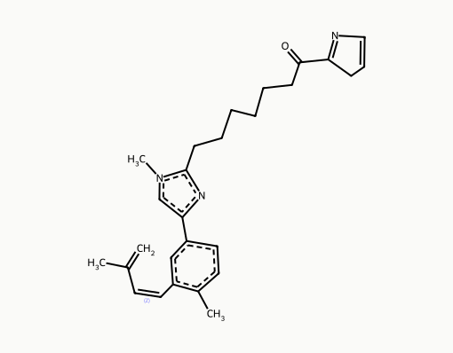 C=C(C)/C=C\c1cc(-c2cn(C)c(CCCCCCC(=O)C3=NC=CC3)n2)ccc1C